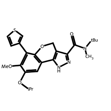 COc1c(OC(C)C)cc2c(c1-c1ccsc1)OCc1c(C(=O)N(C)C(C)(C)C)n[nH]c1-2